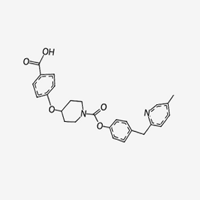 Cc1ccc(Cc2ccc(OC(=O)N3CCC(Oc4ccc(C(=O)O)cc4)CC3)cc2)nc1